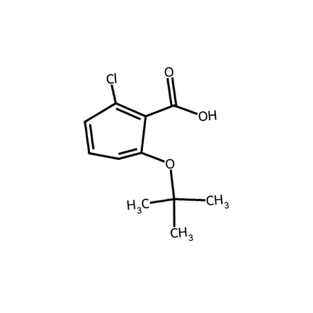 CC(C)(C)Oc1cccc(Cl)c1C(=O)O